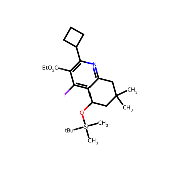 CCOC(=O)c1c(C2CCC2)nc2c(c1I)C(O[Si](C)(C)C(C)(C)C)CC(C)(C)C2